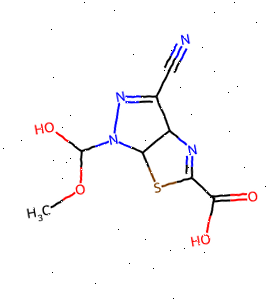 COC(O)N1N=C(C#N)C2N=C(C(=O)O)SC21